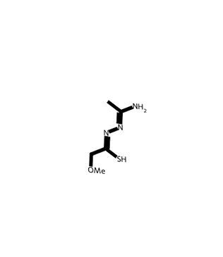 COC/C(S)=N/N=C(\C)N